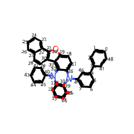 c1ccc(-c2cccc(N(c3ccccc3)c3ccc4oc5c6ccccc6ccc5c4c3N(c3ccccc3)c3ccccc3)c2)cc1